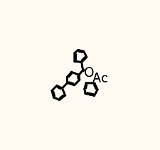 CC(=O)c1ccccc1.O=C(c1ccccc1)c1ccc(-c2ccccc2)cc1